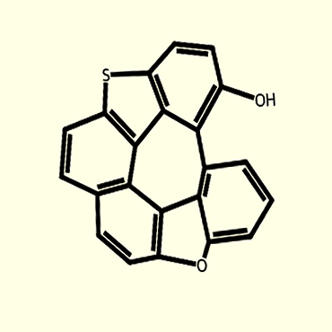 Oc1ccc2sc3ccc4ccc5oc6cccc7c6c5c4c3c2c1-7